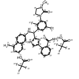 CCc1cc(C(Nc2ccc3c(N)nccc3c2)c2nc(-c3ccccc3C(N)=O)c[nH]2)c(F)c(N2CCN(C)C2=O)c1.O=C(O)C(F)(F)F.O=C(O)C(F)(F)F